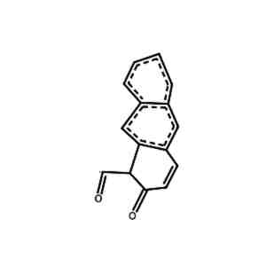 O=[C]C1C(=O)C=Cc2cc3ccccc3cc21